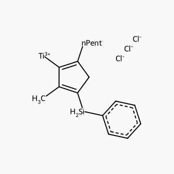 CCCCCC1=[C]([Ti+3])C(C)=C([SiH2]c2ccccc2)C1.[Cl-].[Cl-].[Cl-]